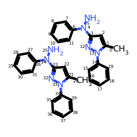 Cc1cc(N(N)c2ccccc2)nn1-c1ccccc1.Cc1cc(N(N)c2ccccc2)nn1-c1ccccc1